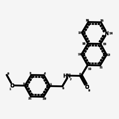 COc1ccc(CNC(=O)c2ccc3ncccc3c2)cc1